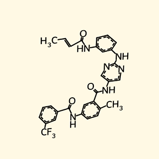 C/C=C/C(=O)Nc1cccc(Nc2ncc(NC(=O)c3cc(NC(=O)c4cccc(C(F)(F)F)c4)ccc3C)cn2)c1